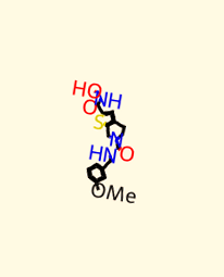 COc1cccc(CNC(=O)N2CCc3cc(C(=O)NO)sc3C2)c1